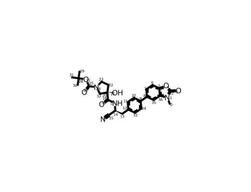 Cn1c(=O)oc2ccc(-c3ccc(C[C@@H](C#N)NC(=O)[C@]4(O)CCN(C(=O)OC(C)(C)C)C4)cc3)cc21